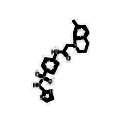 Cc1ccc2c(c1)N(CC(=O)Nc1ccc(S(=O)(=O)Nc3nccs3)cc1)CCC2